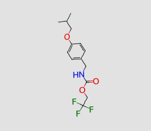 CC(C)COc1ccc(CNC(=O)OCC(F)(F)F)cc1